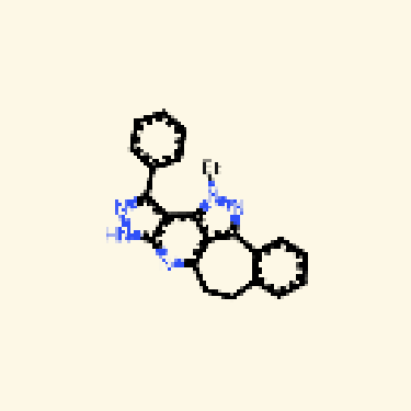 CCn1nc2c3c(nc4[nH]nc(-c5ccccc5)c4c31)CCc1ccccc1-2